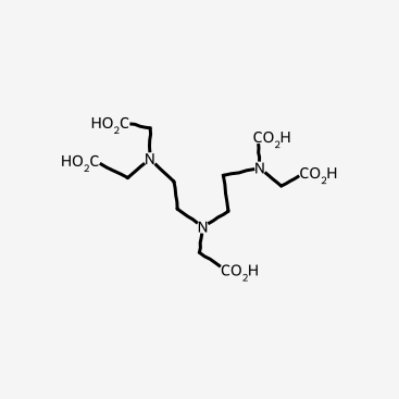 O=C(O)CN(CCN(CC(=O)O)CC(=O)O)CCN(CC(=O)O)C(=O)O